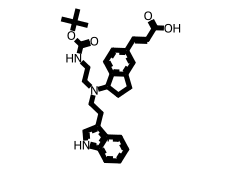 CC(C)(C)OC(=O)NCCN(CCc1c[nH]c2ccccc12)C1CCc2cc(C=CC(=O)O)ccc21